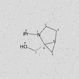 CC(C)N1CCC2C[C@]21CO